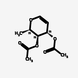 CC(=O)O[C@H]1[C@H](C)OC=C[C@@H]1OC(C)=O